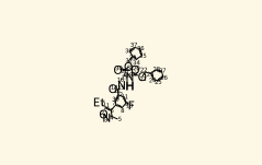 CCc1onc(C)c1-c1cc(F)cc(C(=O)NC[C@@H](NC(=O)OCc2ccccc2)C(=O)OCc2ccccc2)c1